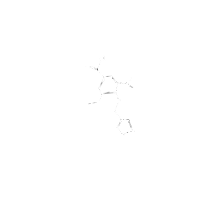 COc1cc(C(=O)O)cc([N+](=O)[O-])c1NCc1cn[nH]c1